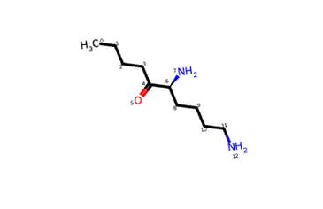 CCCCC(=O)[C@@H](N)CCCCN